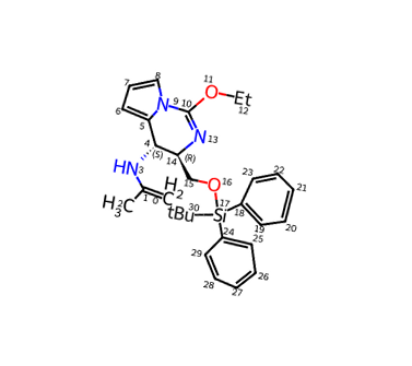 C=C(C)N[C@@H]1c2cccn2C(OCC)=N[C@H]1CO[Si](c1ccccc1)(c1ccccc1)C(C)(C)C